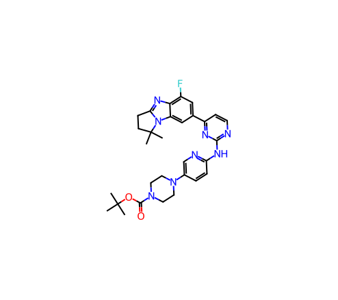 CC(C)(C)OC(=O)N1CCN(c2ccc(Nc3nccc(-c4cc(F)c5nc6n(c5c4)C(C)(C)CC6)n3)nc2)CC1